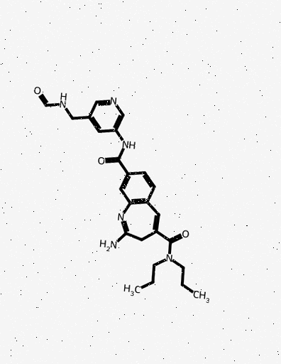 CCCN(CCC)C(=O)C1=Cc2ccc(C(=O)Nc3cncc(CNC=O)c3)cc2N=C(N)C1